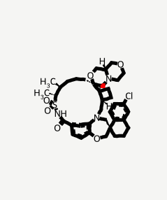 C[C@@H]1[C@@H](C)CCC[C@]2(CN3CCOC[C@H]3CO2)[C@@H]2CC[C@H]2CN2C[C@@]3(CCCc4cc(Cl)ccc43)COc3ccc(cc32)C(=O)NS1(=O)=O